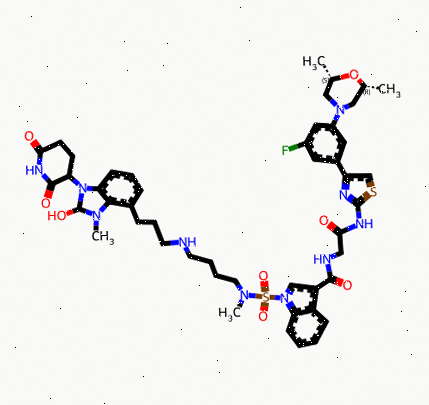 C[C@@H]1CN(c2cc(F)cc(-c3csc(NC(=O)CNC(=O)c4cn(S(=O)(=O)N(C)CCCCNCCCc5cccc6c5N(C)C(O)N6C5CCC(=O)NC5=O)c5ccccc45)n3)c2)C[C@H](C)O1